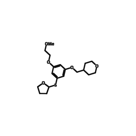 COCCOc1cc(OCC2CCOCC2)cc(SC2CCCO2)c1